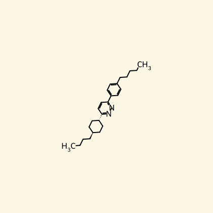 CCCCCc1ccc(-c2ccc([C@H]3CC[C@H](CCCC)CC3)nn2)cc1